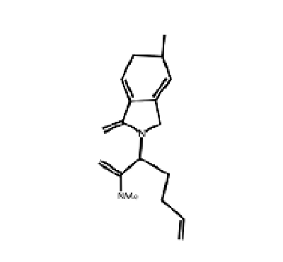 C=CCCC(C(=C)NC)N1CC2=CC(C)CC=C2C1=C